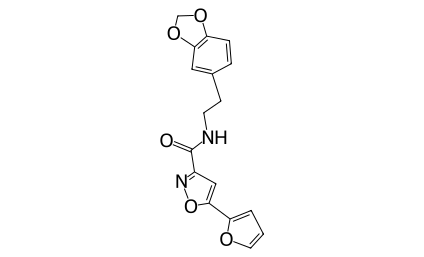 O=C(NCCc1ccc2c(c1)OCO2)c1cc(-c2ccco2)on1